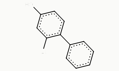 CCc1cc(O)ccc1-c1ccccc1